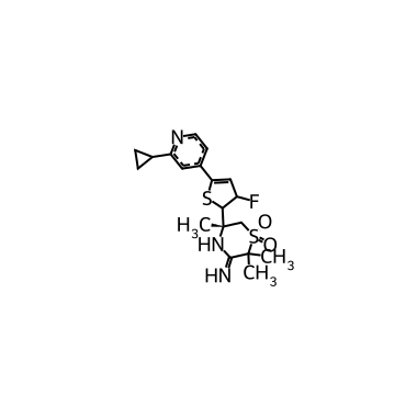 CC1(C)C(=N)N[C@](C)(C2SC(c3ccnc(C4CC4)c3)=CC2F)CS1(=O)=O